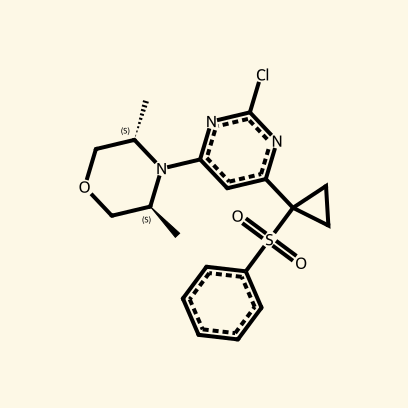 C[C@H]1COC[C@H](C)N1c1cc(C2(S(=O)(=O)c3ccccc3)CC2)nc(Cl)n1